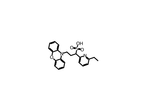 CCc1cccc(C(CCN2c3ccccc3Oc3ccccc32)S(=O)(=O)O)n1